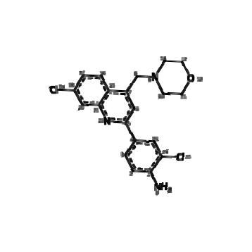 Nc1ccc(-c2cc(CN3CCOCC3)c3ccc(Cl)cc3n2)cc1Cl